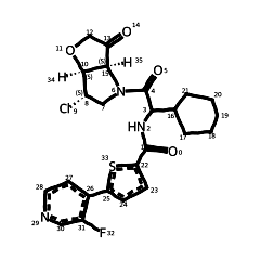 O=C(NC(C(=O)N1C[C@H](Cl)[C@H]2OCC(=O)[C@H]21)C1CCCCC1)c1ccc(-c2ccncc2F)s1